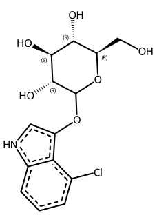 OC[C@H]1OC(Oc2c[nH]c3cccc(Cl)c23)[C@H](O)[C@@H](O)[C@@H]1O